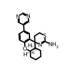 NC1=NC2(CCS1)c1cc(-c3cncnc3)ccc1O[C@@H]1CCCC[C@@H]12